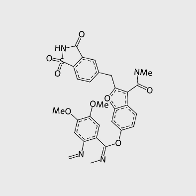 C=Nc1cc(OC)c(OC)cc1/C(=N\C)Oc1ccc2c(C(=O)NC)c(Cc3ccc4c(c3)C(=O)NS4(=O)=O)oc2c1